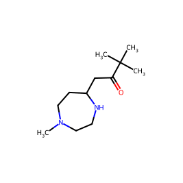 CN1CCNC(CC(=O)C(C)(C)C)CC1